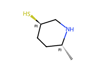 C[C@@H]1CC[C@@H](S)CN1